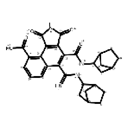 N=C(NC1CC2CCC1C2)c1c(C(=O)NC2CC3CCC2C3)c2c(c3c(C(=O)O)cccc13)C(=O)NC2=O